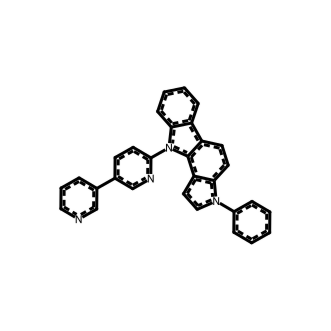 c1ccc(-n2ccc3c2ccc2c4ccccc4n(-c4ccc(-c5cccnc5)cn4)c23)cc1